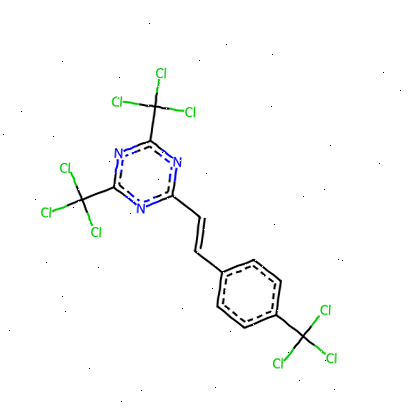 ClC(Cl)(Cl)c1ccc(C=Cc2nc(C(Cl)(Cl)Cl)nc(C(Cl)(Cl)Cl)n2)cc1